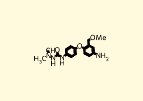 COCc1cc(N)ccc1Oc1ccc(NC(=O)NN(C)C)cc1